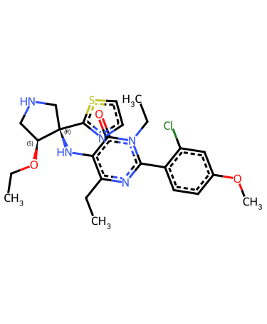 CCO[C@H]1CNC[C@]1(Nc1c(CC)nc(-c2ccc(OC)cc2Cl)n(CC)c1=O)c1nccs1